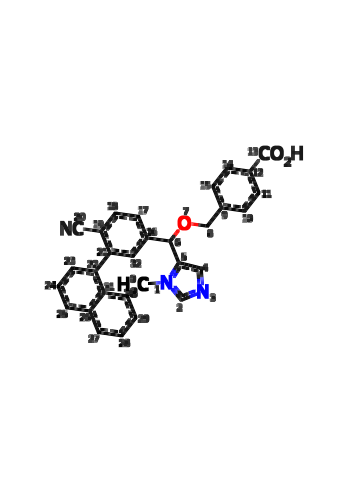 Cn1cncc1C(OCc1ccc(C(=O)O)cc1)c1ccc(C#N)c(-c2cccc3ccccc23)c1